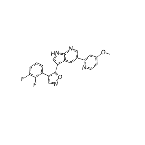 COc1ccnc(-c2cnc3[nH]cc(-c4oncc4-c4cccc(F)c4F)c3c2)c1